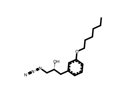 CCCCCCOc1cccc(C[C@@H](O)CN=[N+]=[N-])c1